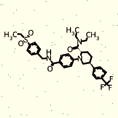 CCN(CC)C(=O)[C@@H]1CC[C@@H](c2ccc(C(F)(F)F)cc2)CN1c1ccc(C(=O)NCc2ccc(S(=O)(=O)CC)cc2)cc1